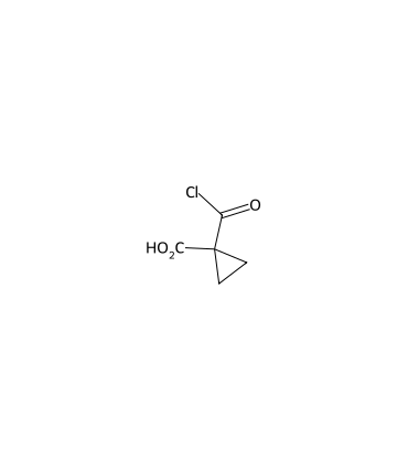 O=C(O)C1(C(=O)Cl)CC1